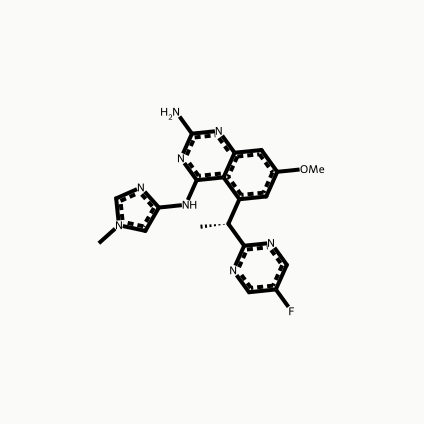 COc1cc([C@@H](C)c2ncc(F)cn2)c2c(Nc3cn(C)cn3)nc(N)nc2c1